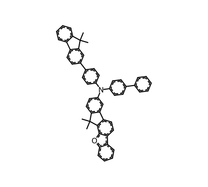 CC1(C)c2ccccc2-c2ccc(-c3ccc(N(c4ccc(-c5ccccc5)cc4)c4ccc5c(c4)-c4ccc6c(oc7ccccc76)c4C5(C)C)cc3)cc21